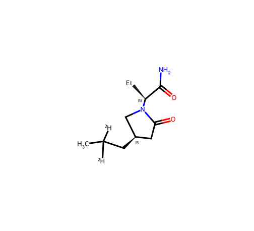 [2H]C([2H])(C)C[C@@H]1CC(=O)N([C@@H](CC)C(N)=O)C1